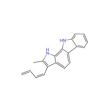 C=C/C=C\c1c(C)[nH]c2c1ccc1c3ccccc3[nH]c12